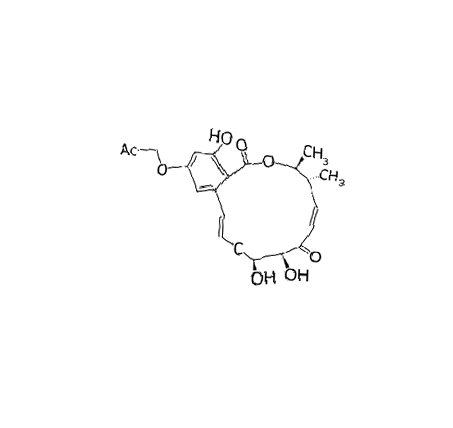 CC(=O)COc1cc(O)c2c(c1)/C=C/C[C@H](O)[C@H](O)C(=O)/C=C\[C@@H](C)[C@H](C)OC2=O